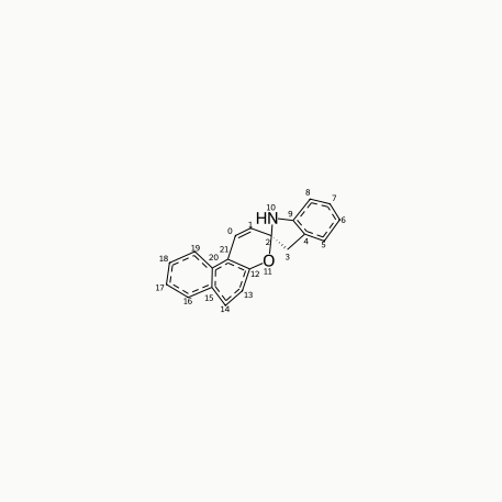 C1=C[C@]2(Cc3ccccc3N2)Oc2ccc3ccccc3c21